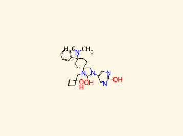 CN(C)[C@]1(c2ccccc2)CC[C@]2(CC1)CN(c1cnc(O)nc1)C(O)N2CC1(O)CCC1